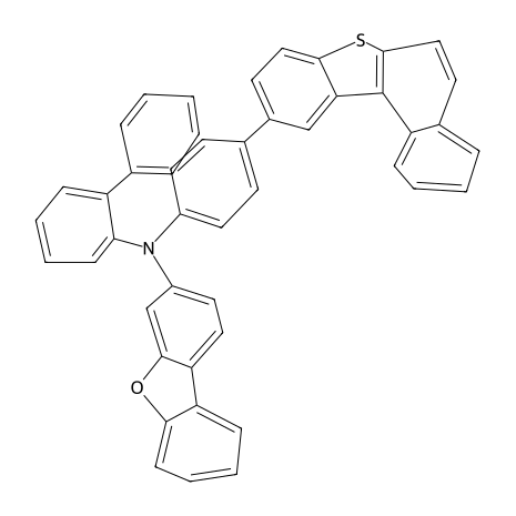 c1ccc(-c2ccccc2N(c2ccc(-c3ccc4sc5ccc6ccccc6c5c4c3)cc2)c2ccc3c(c2)oc2ccccc23)cc1